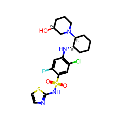 O=S(=O)(Nc1nccs1)c1cc(Cl)c(N[C@H]2CCCC[C@@H]2N2CCC[C@H](O)C2)cc1F